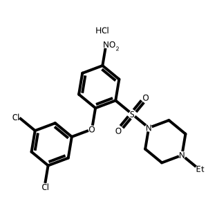 CCN1CCN(S(=O)(=O)c2cc([N+](=O)[O-])ccc2Oc2cc(Cl)cc(Cl)c2)CC1.Cl